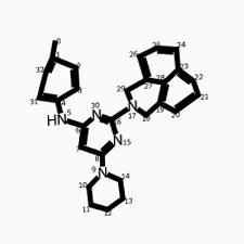 Cc1ccc(Nc2cc(N3CCCCC3)nc(N3Cc4cccc5cccc(c45)C3)n2)cc1